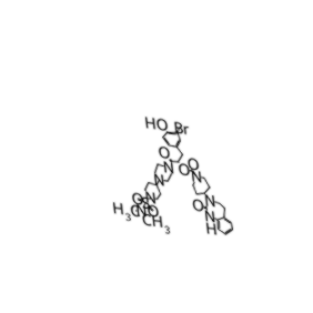 CN(C)S(=O)(=O)N1CCC(N2CCN(C(=O)C(Cc3ccc(O)c(Br)c3)OC(=O)N3CCC(N4CCc5ccccc5NC4=O)CC3)CC2)CC1